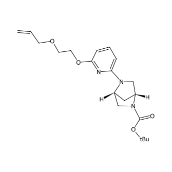 C=CCOCCOc1cccc(N2C[C@H]3C[C@@H]2CN3C(=O)OC(C)(C)C)n1